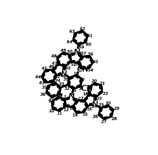 N#Cc1cc(C#N)c(-n2c3ccccc3c3ccc4c(c5ccccc5n4-c4ccccc4)c32)c(-c2ccccc2)c1-n1c2ccccc2c2ccc3c(c4ccccc4n3-c3ccccc3)c21